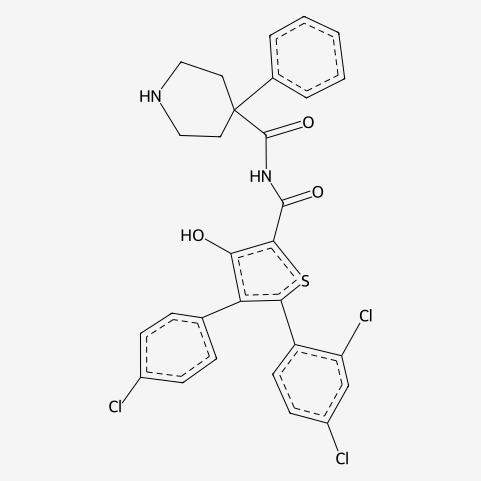 O=C(NC(=O)C1(c2ccccc2)CCNCC1)c1sc(-c2ccc(Cl)cc2Cl)c(-c2ccc(Cl)cc2)c1O